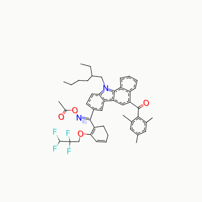 CCCCC(CC)Cn1c2ccc(/C(=N\OC(C)=O)C3=C(OCC(F)(F)C(F)F)C=CCC3)cc2c2cc(C(=O)c3c(C)cc(C)cc3C)c3ccccc3c21